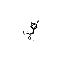 CN(C)Cc1cn(I)nn1